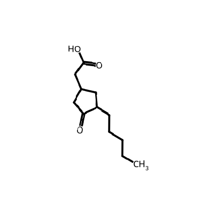 CCCCCC1CC(CC(=O)O)CC1=O